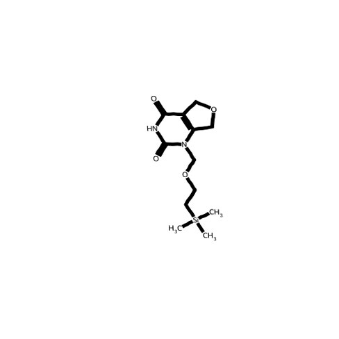 C[Si](C)(C)CCOCn1c2c(c(=O)[nH]c1=O)COC2